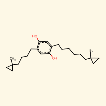 CCC1(CCCCCCc2cc(O)c(CCCCC3(C)CC3)cc2O)CC1